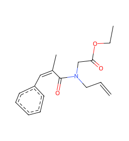 C=CCN(CC(=O)OCC)C(=O)C(C)=Cc1ccccc1